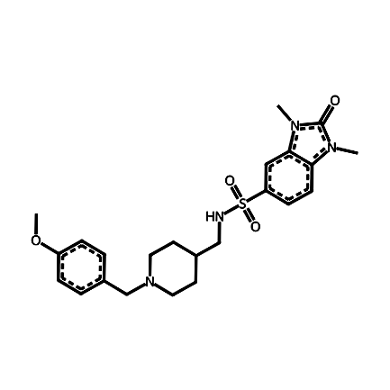 COc1ccc(CN2CCC(CNS(=O)(=O)c3ccc4c(c3)n(C)c(=O)n4C)CC2)cc1